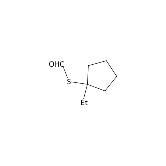 CCC1(SC=O)CCCC1